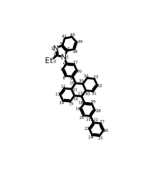 CCc1nc2c(n1-c1ccc(C3C4C=CC=CC4C(c4ccc(-c5ccccc5)cc4)C4C=CCCC43)cc1)C=CCC2